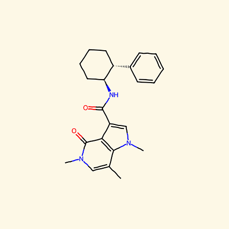 Cc1cn(C)c(=O)c2c(C(=O)N[C@H]3CCCC[C@@H]3c3ccccc3)cn(C)c12